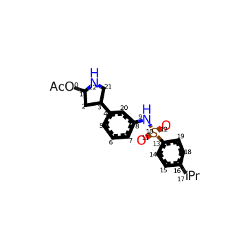 CC(=O)OC1CC(c2cccc(NS(=O)(=O)c3ccc(C(C)C)cc3)c2)CN1